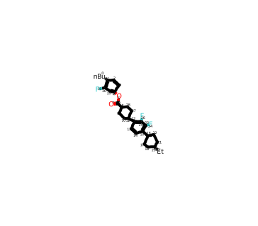 CCCCc1ccc(OC(=O)C2CCC(c3ccc(C4CCC(CC)CC4)c(F)c3F)CC2)cc1F